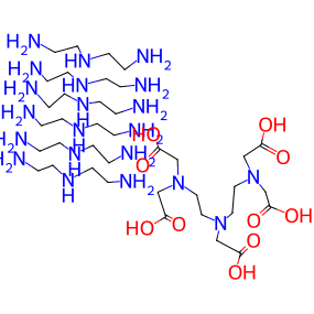 NCCNCCN.NCCNCCN.NCCNCCN.NCCNCCN.NCCNCCN.NCCNCCN.O=C(O)CN(CCN(CC(=O)O)CC(=O)O)CCN(CC(=O)O)CC(=O)O